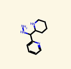 NNC(c1ccccn1)C1CCCCN1